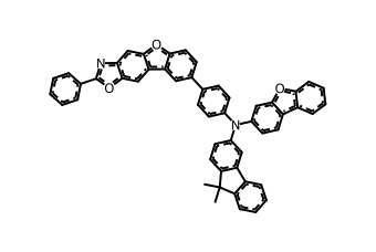 CC1(C)c2ccccc2-c2cc(N(c3ccc(-c4ccc5oc6cc7nc(-c8ccccc8)oc7cc6c5c4)cc3)c3ccc4c(c3)oc3ccccc34)ccc21